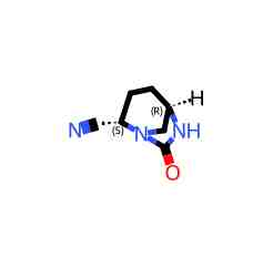 N#C[C@@H]1CC[C@@H]2CN1C(=O)N2